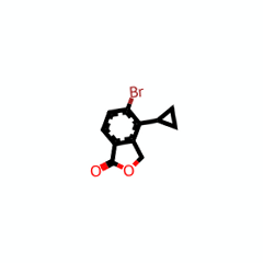 O=C1OCc2c1ccc(Br)c2C1CC1